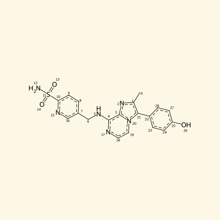 Cc1nc2c(NCc3ccc(S(N)(=O)=O)nc3)nccn2c1-c1ccc(O)cc1